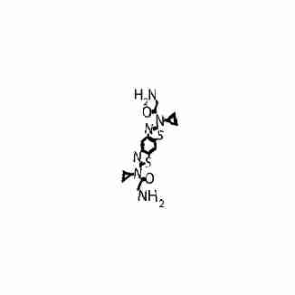 NCC(=O)N(c1nc2cc3nc(N(C(=O)CN)C4CC4)sc3cc2s1)C1CC1